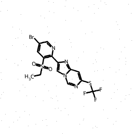 CCS(=O)(=O)c1cc(Br)cnc1-c1cn2cnc(SC(F)(F)F)cc2n1